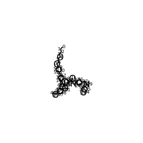 CCCCOCCOc1ccc(-c2ccc3c(c2)C=C(C(=O)Nc2ccc(CN(C)C4CCOCC4)cc2)CCN3Cc2cc(OC)ccc2OC)cc1